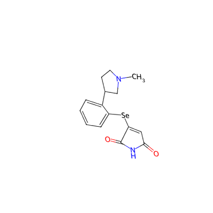 CN1CCC(c2ccccc2[Se]C2=CC(=O)NC2=O)C1